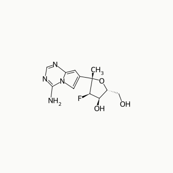 C[C@@]1(c2cc3ncnc(N)n3c2)O[C@H](CO)[C@@H](O)[C@H]1F